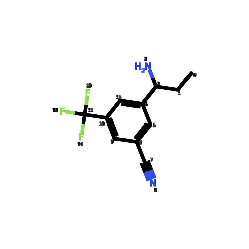 CCC(N)c1cc(C#N)cc(C(F)(F)F)c1